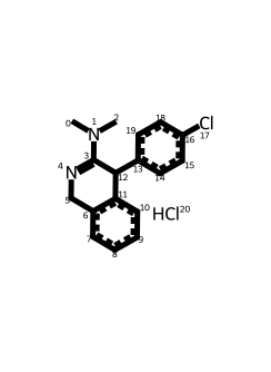 CN(C)C1=NCc2ccccc2C1c1ccc(Cl)cc1.Cl